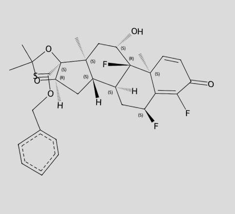 CC1(C)O[C@@H]2C[C@H]3[C@@H]4C[C@H](F)C5=C(F)C(=O)C=C[C@]5(C)[C@@]4(F)[C@@H](O)C[C@]3(C)[C@]2(C(=S)OCc2ccccc2)O1